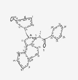 O=C(On1c(-c2cccc(Cl)c2)cc2c3ccccc3ccc21)c1ccccc1